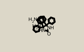 Nc1cccc(C2(c3ccccc3)NC(=O)NC2(c2ccccc2)c2ccccc2)c1N